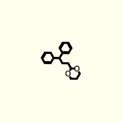 C1=CCC(C(CCC2OCCCO2)c2ccccc2)C=C1